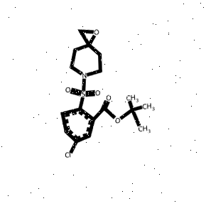 CC(C)(C)OC(=O)c1cc(Cl)ccc1S(=O)(=O)N1CCC2(CC1)CO2